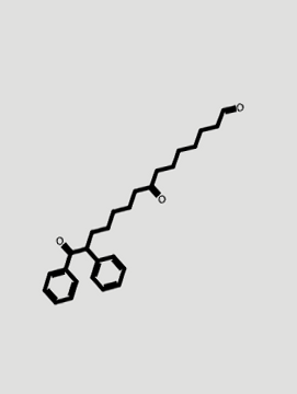 O=CCCCCCCC(=O)CCCCCC(C(=O)c1ccccc1)c1ccccc1